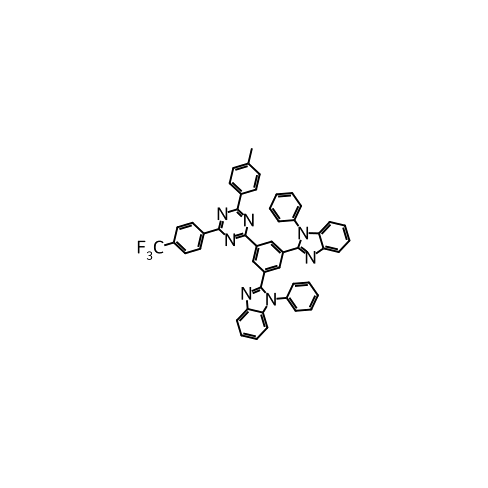 Cc1ccc(-c2nc(-c3ccc(C(F)(F)F)cc3)nc(-c3cc(-c4nc5ccccc5n4-c4ccccc4)cc(-c4nc5ccccc5n4-c4ccccc4)c3)n2)cc1